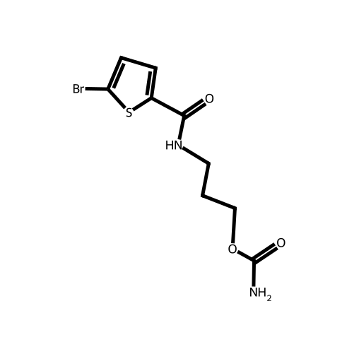 NC(=O)OCCCNC(=O)c1ccc(Br)s1